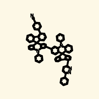 N#Cc1ccc(-c2cccc3c2-c2ccccc2C32c3ccccc3N(c3ccccc3)c3cc(-c4ccc5c(c4)N(c4ccccc4)c4ccccc4C54c5ccccc5-c5c(-c6ccc(-c7ccccc7)nn6)cccc54)ccc32)cc1